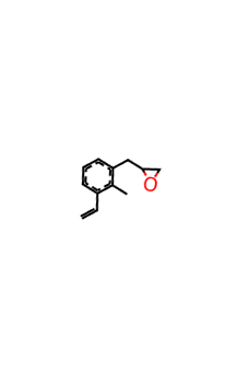 C=Cc1cccc(CC2CO2)c1C